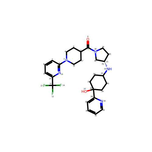 O=C(C1CCN(c2cccc(C(F)(F)F)n2)CC1)N1CC[C@H](NC2CCC(O)(c3ccccn3)CC2)C1